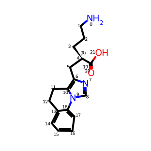 NCCC[C@H](Cc1ncn2c1CCc1ccccc1-2)C(=O)O